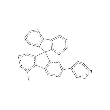 Cc1cccc2c1-c1ccc(-c3ccncc3)cc1C21c2ccccc2-c2ccccc21